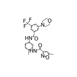 Cc1cc(C(=O)Nc2cc(NC(=O)c3cc(N4CCOCC4)cc(C(F)(F)F)c3)ccc2C)no1